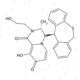 C[C@H]1N(CCO)C(=O)c2c(O)c(=O)ccn2N1[C@@H]1c2ccccc2CSc2ccccc21